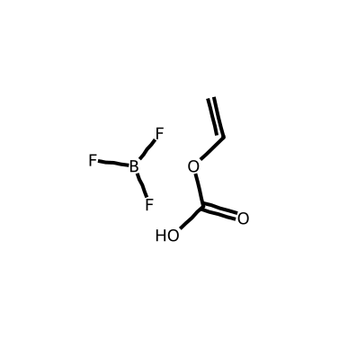 C=COC(=O)O.FB(F)F